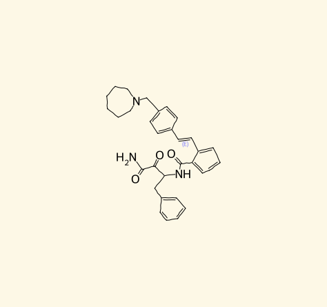 NC(=O)C(=O)C(Cc1ccccc1)NC(=O)c1ccccc1/C=C/c1ccc(CN2CCCCCC2)cc1